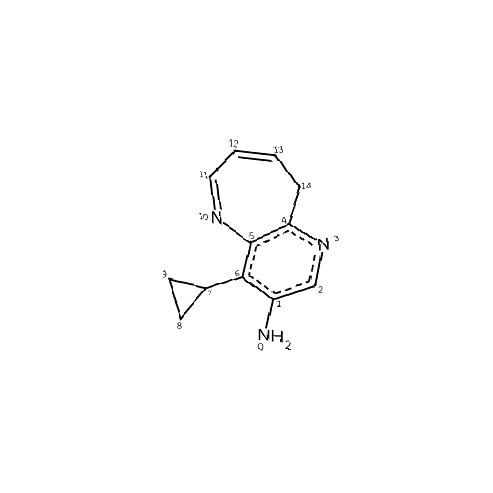 Nc1cnc2c(c1C1CC1)N=CC=CC2